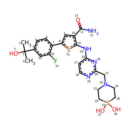 CC(C)(O)c1ccc(-c2cc(C(N)=O)c(Nc3ccnc(CN4CCS(O)(O)CC4)n3)s2)c(F)c1